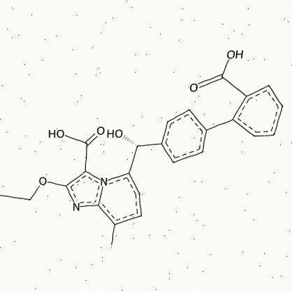 CCOc1nc2c(C)ccc([C@H](O)c3ccc(-c4ccccc4C(=O)O)cc3)n2c1C(=O)O